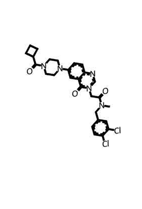 CN(Cc1ccc(Cl)c(Cl)c1)C(=O)Cn1cnc2ccc(N3CCN(C(=O)C4CCC4)CC3)cc2c1=O